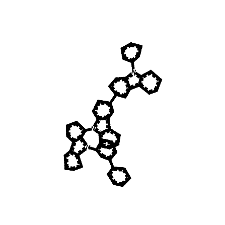 c1ccc(-c2cccc(-n3c4ccccc4c4cccc(-n5c6ccccc6c6cc(-c7ccc8c(c7)c7ccccc7n8-c7ccccc7)ccc65)c43)c2)cc1